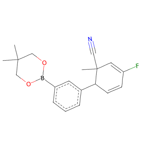 CC1(C)COB(c2cccc(C3C=CC(F)=CC3(C)C#N)c2)OC1